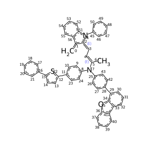 C=c1/c(=C\C=C(/C)N(c2ccc(-c3ccc(-c4ccccc4)s3)cc2)c2ccc(-c3cccc4c3oc3ccccc34)cc2)n(-c2ccccc2)c2ccccc12